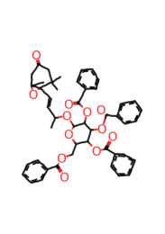 CC(C=CC12OC1(C)CC(=O)CC2(C)C)OC1OC(COC(=O)c2ccccc2)C(OC(=O)c2ccccc2)C(OC(=O)c2ccccc2)C1OC(=O)c1ccccc1